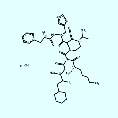 CC(N)[C@H]1CCN(C(=O)N(C(=O)C[C@H](O)C(N)CC2CCCCC2)C(=O)[C@@H](N)CCCCN)C(C(=O)[C@H](Cc2c[nH]cn2)NC(=O)[C@@H](N)Cc2ccccc2)C1=C=O.Cl.Cl